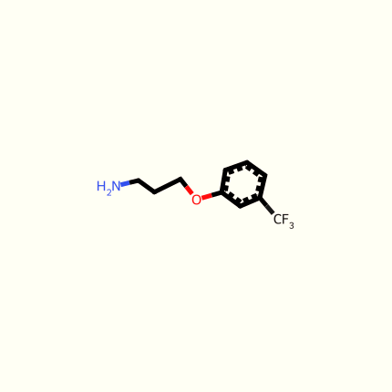 NCCCOc1cccc(C(F)(F)F)c1